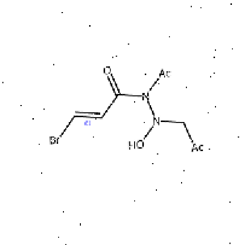 CC(=O)CN(O)N(C(C)=O)C(=O)/C=C/Br